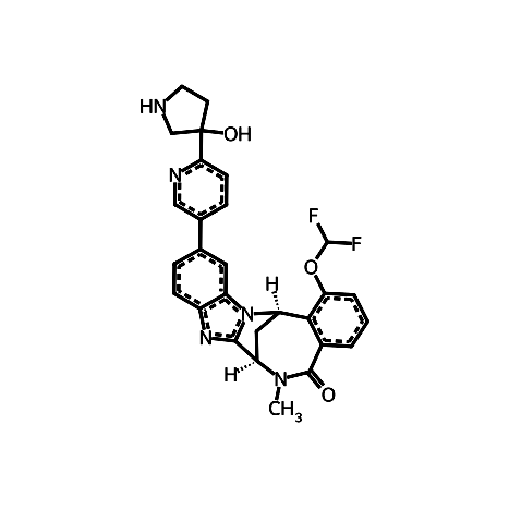 CN1C(=O)c2cccc(OC(F)F)c2[C@H]2C[C@@H]1c1nc3ccc(-c4ccc(C5(O)CCNC5)nc4)cc3n12